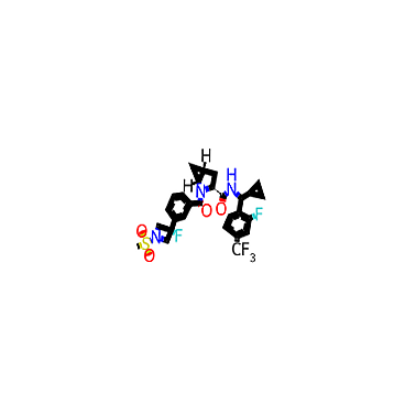 CS(=O)(=O)N1CC(F)(c2cccc(C(=O)N3[C@@H](C(=O)NC(c4ccc(C(F)(F)F)cc4F)C4CC4)C[C@H]4C[C@H]43)c2)C1